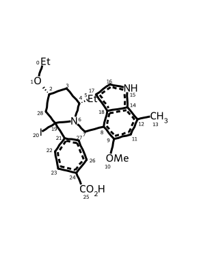 CCO[C@@H]1C[C@H](CC)N(Cc2c(OC)cc(C)c3[nH]ccc23)C(I)(c2ccc(C(=O)O)cc2)C1